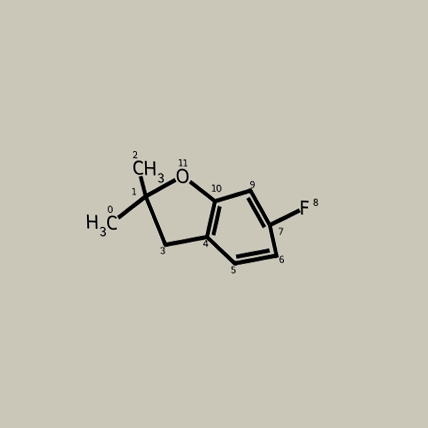 CC1(C)Cc2ccc(F)cc2O1